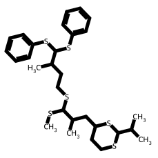 CSC(SCCC(C)C(Sc1ccccc1)Sc1ccccc1)C(C)CC1CCSC(C(C)C)S1